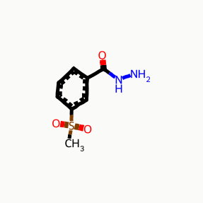 CS(=O)(=O)c1cccc(C(=O)NN)c1